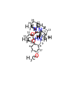 COc1ccc(OC)c(CN[C@H]2[C@H]3CCN([C@@H](C(=O)N(C)C)C3)[C@H]2C(c2ccccc2)c2ccccc2)c1